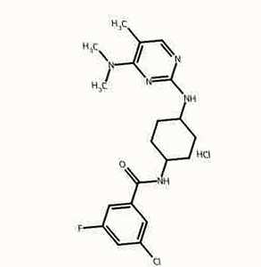 Cc1cnc(NC2CCC(NC(=O)c3cc(F)cc(Cl)c3)CC2)nc1N(C)C.Cl